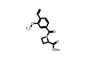 C=Cc1ccc(C(=O)N2CCC2C(=O)OC)cc1OC(F)(F)F